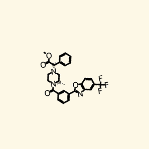 COC(=O)[C@H](c1ccccc1)N1CCN(C(=O)c2cccc(-c3nc4cc(C(F)(F)F)ccc4o3)c2)[C@@H](C)C1